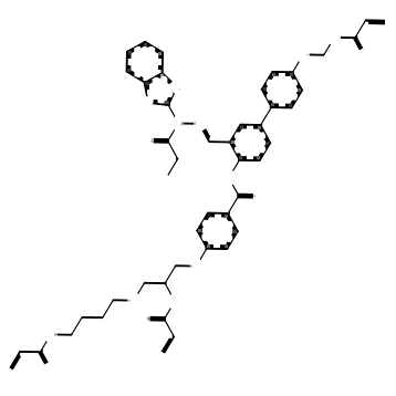 C=CC(=O)OCCCCOCC(COc1ccc(C(=O)Oc2ccc(-c3ccc(OCOC(=O)C=C)cc3)cc2/C=N/N(C(=O)CC)c2nc3ccccc3s2)cc1)OC(=O)C=C